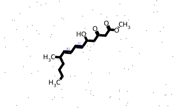 CCCCC(C)/C=C/C=C/C(O)CC(=O)CC(=O)OC